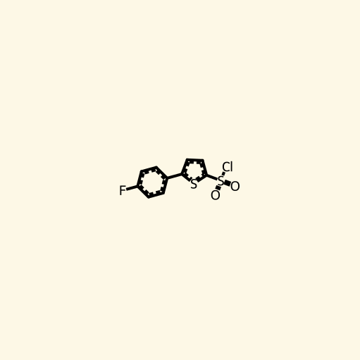 O=S(=O)(Cl)c1ccc(-c2ccc(F)cc2)s1